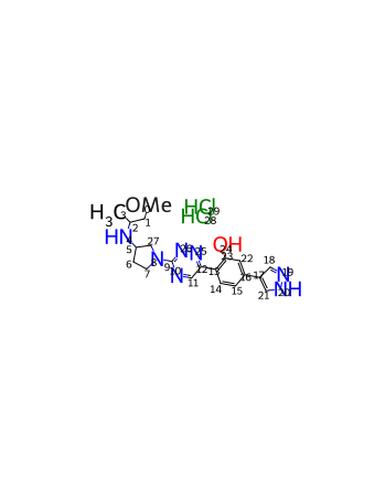 COCC(C)NC1CCN(c2ncc(-c3ccc(-c4cn[nH]c4)cc3O)nn2)C1.Cl.Cl